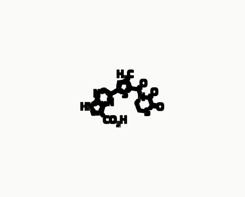 Cc1cc(-c2cnc3[nH]cc(C(=O)O)c3n2)sc1C(=O)N1CCSC(=O)C1=O